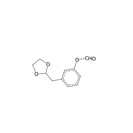 O=COc1cccc(CC2OCCO2)c1